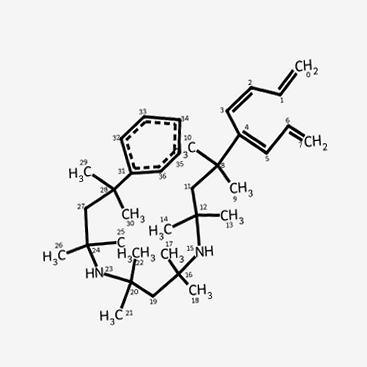 C=C/C=C\C(=C/C=C)C(C)(C)CC(C)(C)NC(C)(C)CC(C)(C)NC(C)(C)CC(C)(C)c1ccccc1